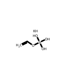 C=CO[Si](O)(O)O.[KH]